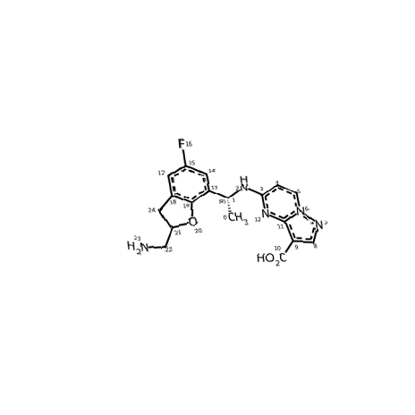 C[C@@H](Nc1ccn2ncc(C(=O)O)c2n1)c1cc(F)cc2c1OC(CN)C2